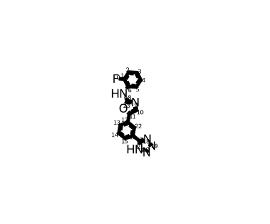 Fc1ccccc1Nc1ncc(-c2cccc(-c3nnn[nH]3)c2)o1